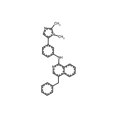 Cc1ncc(-c2cccc(Nc3ncc(Cc4ccccc4)c4ccccc34)c2)n1C